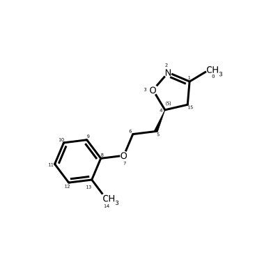 CC1=NO[C@H](CCOc2ccccc2C)C1